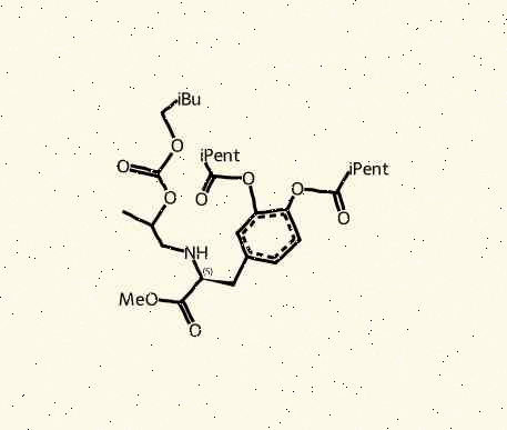 CCCC(C)C(=O)Oc1ccc(C[C@H](NCC(C)OC(=O)OCC(C)CC)C(=O)OC)cc1OC(=O)C(C)CCC